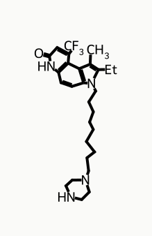 CCc1c(C)c2c3c(C(F)(F)F)cc(=O)[nH]c3ccc2n1CCCCCCCCCN1CCNCC1